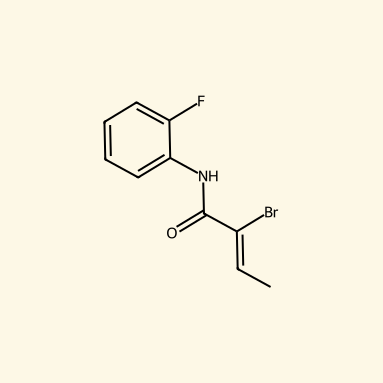 C/C=C(\Br)C(=O)Nc1ccccc1F